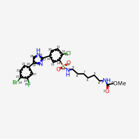 COC(=O)NCCCCCCNS(=O)(=O)c1cc(-c2nc(-c3ccc(Br)c(F)c3)c[nH]2)ccc1Cl